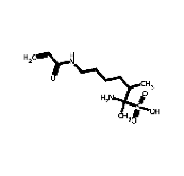 C=CC(=O)NCCCCC(C)C(C)(N)S(=O)(=O)O